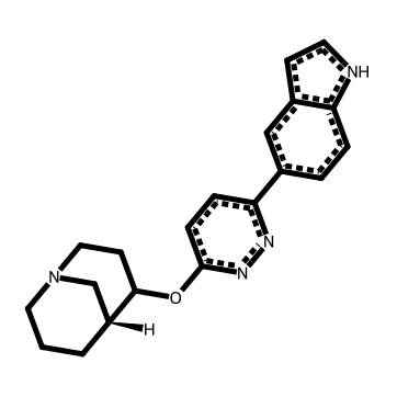 c1cc2cc(-c3ccc(OC4CCN5CCC[C@@H]4C5)nn3)ccc2[nH]1